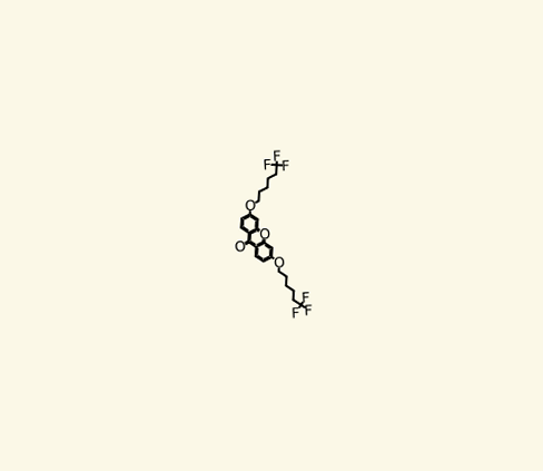 O=c1c2ccc(OCCCCCC(F)(F)F)cc2oc2cc(OCCCCCC(F)(F)F)ccc12